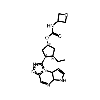 CC[C@@H]1C[C@@H](OC(=O)NC2COC2)C[C@@H]1c1nnc2n1C1C=CNC1N=C2